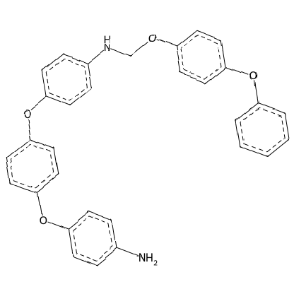 Nc1ccc(Oc2ccc(Oc3ccc(NCOc4ccc(Oc5ccccc5)cc4)cc3)cc2)cc1